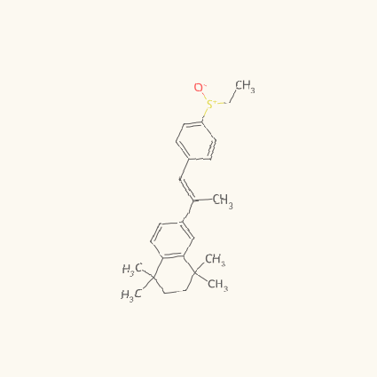 CC[S+]([O-])c1ccc(/C=C(\C)c2ccc3c(c2)C(C)(C)CCC3(C)C)cc1